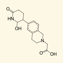 O=C(O)CN1CCc2cc(C3CCC(=O)NC3O)ccc2C1